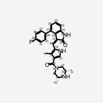 Cc1c(C(=O)N2C[C@@H](C)N[C@@H](C)C2)c[nH]c1C=C1C(=O)Nc2cccc(-c3ccc(F)cc3)c21